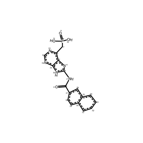 O=C(Nc1nc2c(CP(=O)(O)O)ncnc2[nH]1)c1ccc2ccccc2c1